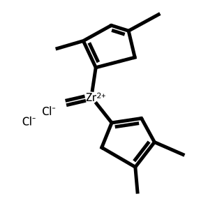 [CH2]=[Zr+2]([C]1=CC(C)=C(C)C1)[C]1=C(C)C=C(C)C1.[Cl-].[Cl-]